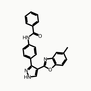 Cc1ccc2oc(-c3c[nH]nc3-c3ccc(NC(=O)c4ccccc4)cc3)nc2c1